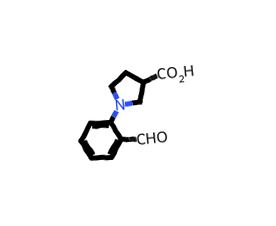 O=Cc1ccccc1N1CCC(C(=O)O)C1